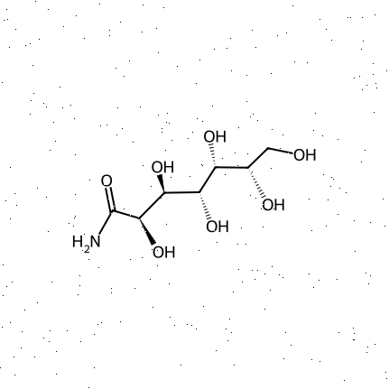 NC(=O)[C@H](O)[C@@H](O)[C@@H](O)[C@H](O)[C@@H](O)CO